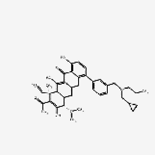 C=C[C@]1(C)C(C(N)=O)=C(O)[C@@H](N(C)C)C2CC3Cc4c(-c5cccc(CN(CCC)CC6CC6)c5)ccc(O)c4C(=O)C3=C(O)C21